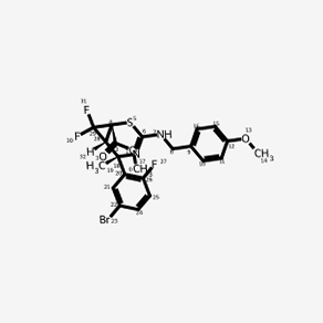 COC(=O)[C@@]12SC(NCc3ccc(OC)cc3)=N[C@](C)(c3cc(Br)ccc3F)[C@@H]1C2(F)F